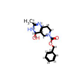 CC1=NC2=C(CN(C(=O)OCc3ccccc3)CC2)C(O)N1